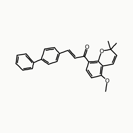 COc1ccc(C(=O)/C=C/c2ccc(-c3ccccc3)cc2)c2c1C=CC(C)(C)O2